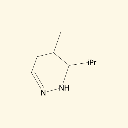 CC(C)C1NN=CCC1C